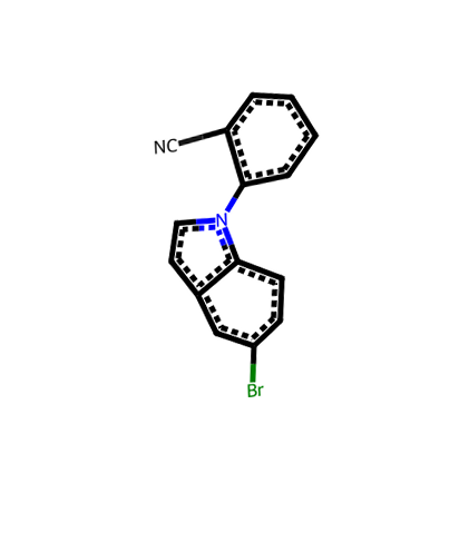 N#Cc1ccccc1-n1ccc2cc(Br)ccc21